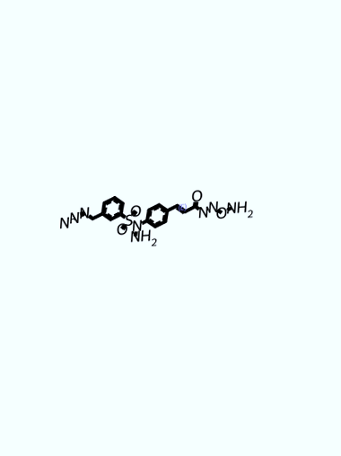 [N-]=[N+]=NCc1cccc(S(=O)(=O)N(N)c2ccc(/C=C/C(=O)N=NON)cc2)c1